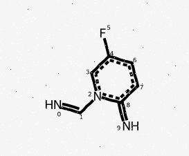 N=Cn1cc(F)ccc1=N